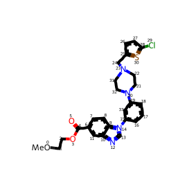 COCCOC(=O)c1ccc2c(c1)ncn2-c1cccc(N2CCN(Cc3ccc(Cl)s3)CC2)c1